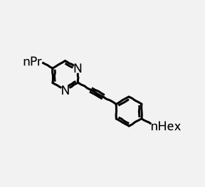 CCCCCCc1ccc(C#Cc2ncc(CCC)cn2)cc1